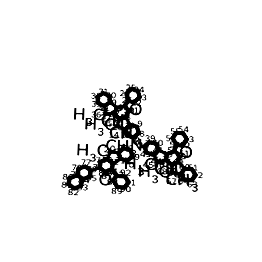 CC1(C)c2cc(N(c3ccc4c(c3)C(C)(C)c3c5c(c6c(oc7ccccc76)c3-4)-c3ccccc3C5(C)C)c3ccc4c(c3)C(C)(C)c3c5c(c6oc7ccccc7c6c3-4)-c3ccccc3C5(C)C)ccc2-c2c1cc(-c1ccc3ccccc3c1)c1oc3ccccc3c21